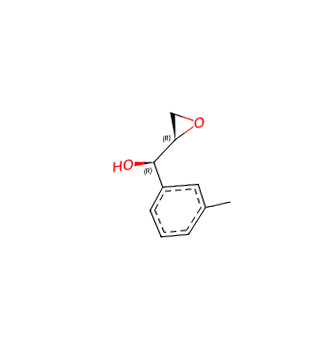 Cc1cccc([C@@H](O)[C@H]2CO2)c1